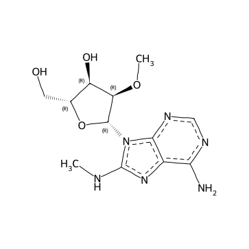 CNc1nc2c(N)ncnc2n1[C@@H]1O[C@H](CO)[C@@H](O)[C@H]1OC